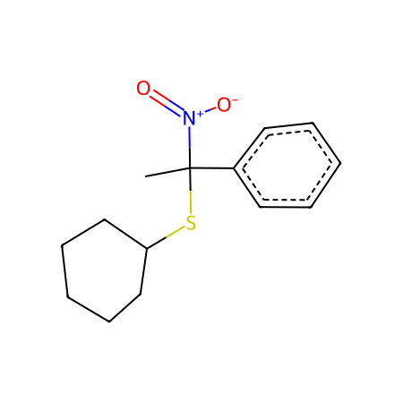 CC(SC1CCCCC1)(c1ccccc1)[N+](=O)[O-]